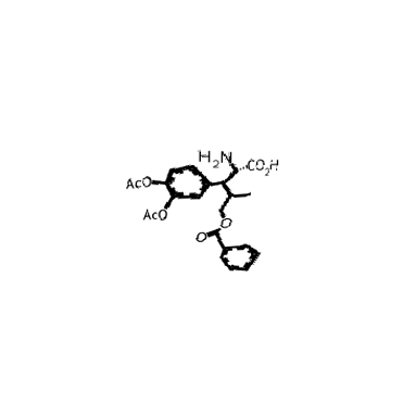 CC(=O)Oc1ccc(C(C(C)COC(=O)c2ccccc2)[C@H](N)C(=O)O)cc1OC(C)=O